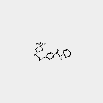 O=C(Nc1ccccc1)c1ccc(C2CC2NC2CCS(O)(O)CC2)cc1